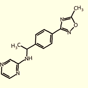 Cc1nc(-c2ccc(C(C)Nc3cnccn3)cc2)no1